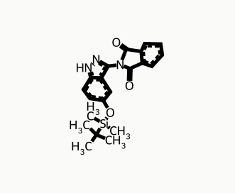 CC(C)(C)[Si](C)(C)Oc1ccc2[nH]nc(N3C(=O)c4ccccc4C3=O)c2c1